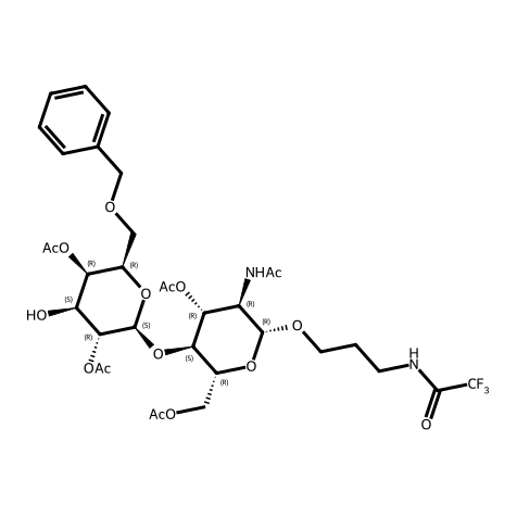 CC(=O)N[C@H]1[C@H](OCCCNC(=O)C(F)(F)F)O[C@H](COC(C)=O)[C@@H](O[C@@H]2O[C@H](COCc3ccccc3)[C@H](OC(C)=O)[C@H](O)[C@H]2OC(C)=O)[C@@H]1OC(C)=O